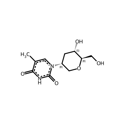 Cc1cn([C@H]2CO[C@H](CO)[C@@H](O)C2)c(=O)[nH]c1=O